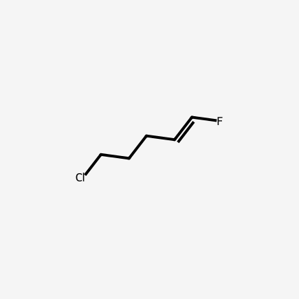 FC=CCCCCl